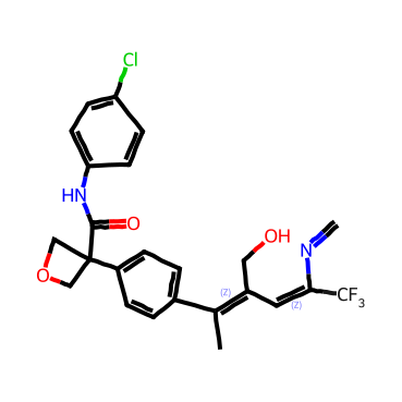 C=N/C(=C\C(CO)=C(/C)c1ccc(C2(C(=O)Nc3ccc(Cl)cc3)COC2)cc1)C(F)(F)F